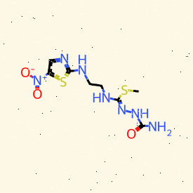 CSC(=NNC(N)=O)NCCNc1ncc([N+](=O)[O-])s1